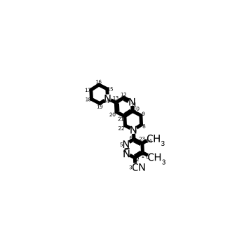 Cc1c(C#N)nnc(N2CCc3ncc(N4CCCCC4)cc3C2)c1C